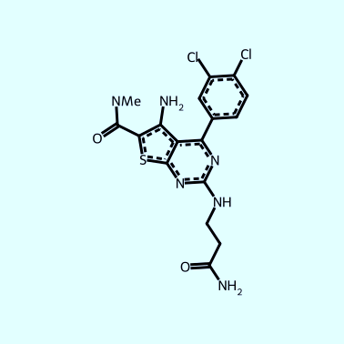 CNC(=O)c1sc2nc(NCCC(N)=O)nc(-c3ccc(Cl)c(Cl)c3)c2c1N